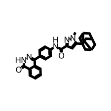 Cn1nc(C(=O)Nc2ccc(-c3n[nH]c(=O)c4ccccc34)cc2)cc1C12CC3CC(CC(C3)C1)C2